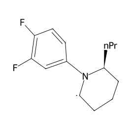 CCC[C@H]1CCC[CH]N1c1ccc(F)c(F)c1